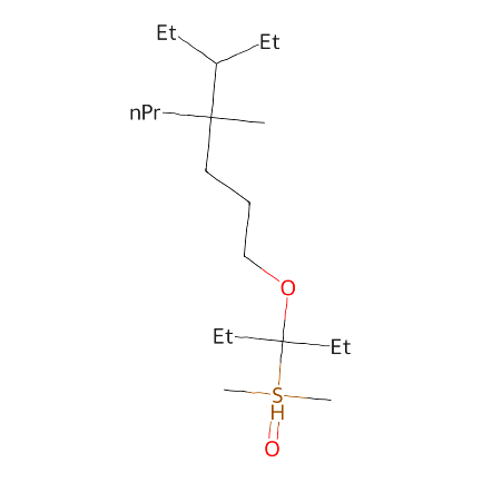 CCCC(C)(CCCOC(CC)(CC)[SH](C)(C)=O)C(CC)CC